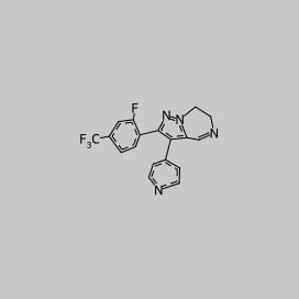 Fc1cc(C(F)(F)F)ccc1-c1nn2c(c1-c1ccncc1)C=NCC2